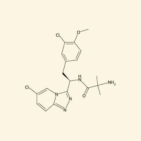 COc1ccc(C[C@@H](NC(=O)C(C)(C)N)c2nnc3ccc(Cl)cn23)cc1Cl